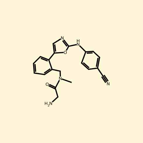 CN(Cc1ccccc1-c1cnc(Nc2ccc(C#N)cc2)o1)C(=O)CN